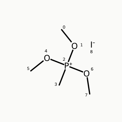 CO[P+](C)(OC)OC.[I-]